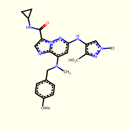 CCn1cc(Nc2cc(N(C)Cc3ccc(OC)cc3)c3ncc(C(=O)NC4CC4)n3n2)c(C(=O)O)n1